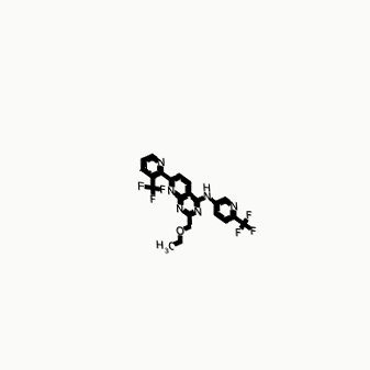 CCOCc1nc(Nc2ccc(C(F)(F)F)nc2)c2ccc(-c3ncccc3C(F)(F)F)nc2n1